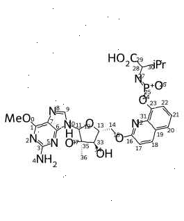 COc1nc(N)nc2c1ncn2C1O[C@H](COc2ccc3cccc(O/[P+]([O-])=N/C(C(=O)O)C(C)C)c3n2)[C@@H](O)[C@@]1(C)O